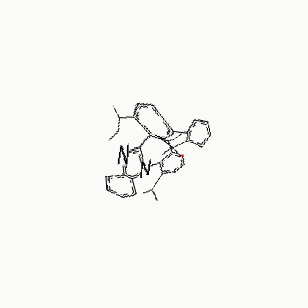 CCC(C)c1ccc2c(c1-c1nc3ccccc3n1-c1c(C(C)C)cccc1C(C)C)C(C)(C)c1ccccc1-2